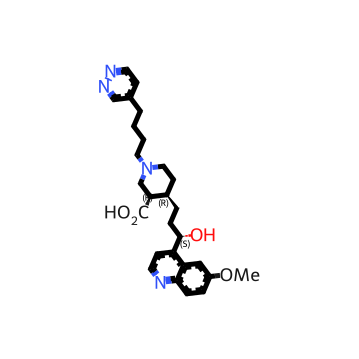 COc1ccc2nccc([C@@H](O)CC[C@@H]3CCN(CCCCc4ccnnc4)C[C@@H]3C(=O)O)c2c1